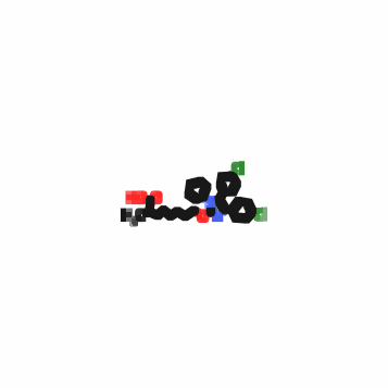 CC(CCCCCCOc1nc(-c2ccc(Cl)cc2)c(-c2ccc(Cl)cc2)n1-c1ccccc1)C(=O)O